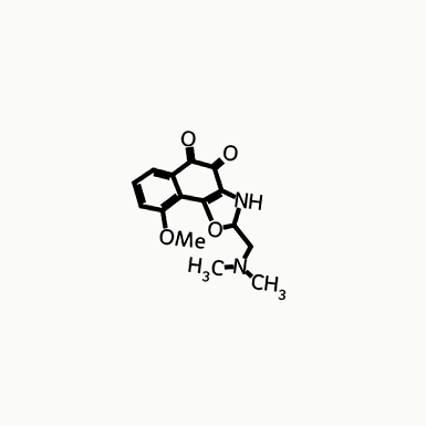 COc1cccc2c1C1=C(NC(CN(C)C)O1)C(=O)C2=O